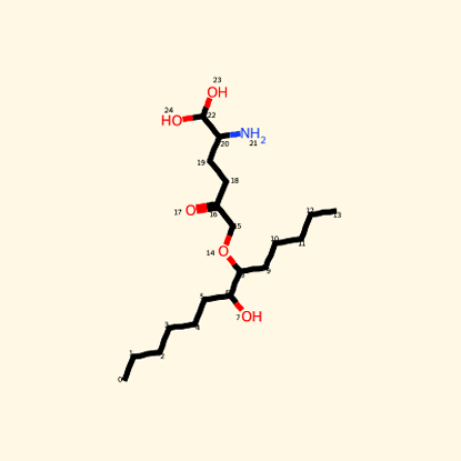 CCCCCCC(O)C(CCCCC)OCC(=O)CCC(N)C(O)O